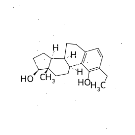 CCc1ccc2c(c1O)[C@H]1CC[C@]3(C)[C@@H](O)CC[C@H]3[C@H]1CC2